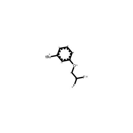 CC(C)(C)c1cccc(OCC(F)F)c1